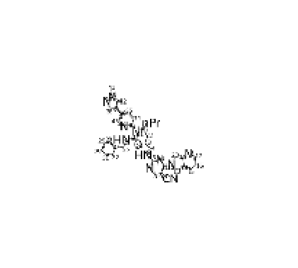 CCC[C@@H](CCCNc1ncc(C#N)c(N2Cc3cccnc3C2)n1)N(C(=O)NCc1ccccc1)c1ccc(-c2cnn(C)c2)cn1